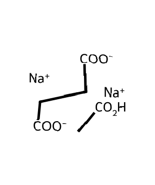 CC(=O)O.O=C([O-])CCC(=O)[O-].[Na+].[Na+]